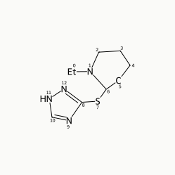 CCN1CCCCC1Sc1nc[nH]n1